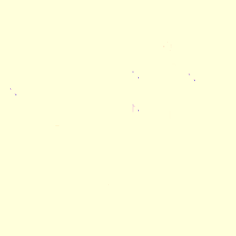 COc1ccc(-n2c(-c3ccc(C#N)c(F)c3)nc(C(=O)N3CCCC3)c2F)cc1